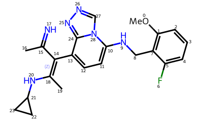 COc1cccc(F)c1CNc1ccc(/C(C(C)=N)=C(\C)NC2CC2)c2nncn12